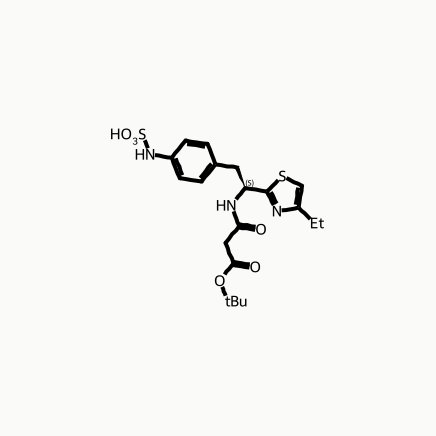 CCc1csc([C@H](Cc2ccc(NS(=O)(=O)O)cc2)NC(=O)CC(=O)OC(C)(C)C)n1